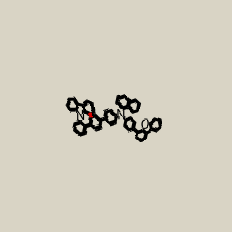 c1ccc(-n2c3ccccc3c3ccccc32)c(-c2ccc(-c3ccc(N(c4ccc(-c5cccc6c5oc5ccccc56)cc4)c4cccc5ccccc45)cc3)cc2)c1